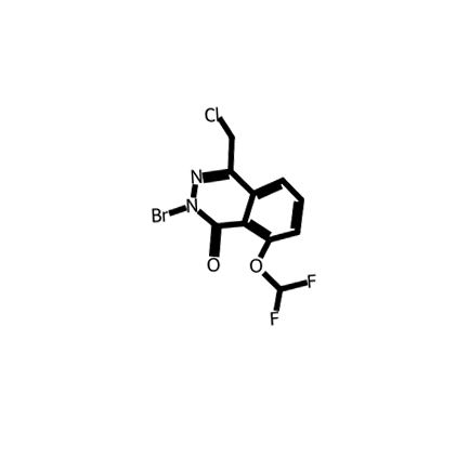 O=c1c2c(OC(F)F)cccc2c(CCl)nn1Br